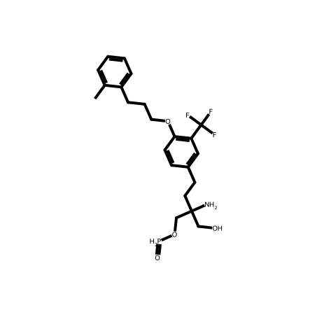 Cc1ccccc1CCCOc1ccc(CCC(N)(CO)CO[PH2]=O)cc1C(F)(F)F